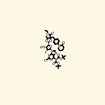 CCOC(=O)C(Cc1ccc(N2CCCCC2=O)cc1)(OC[C@H]1O[C@@H](n2cnc3c(N(C(=O)OC(C)(C)C)C(=O)OC(C)(C)C)nc(Cl)nc32)[C@@H](F)[C@@H]1O)C(C)=O